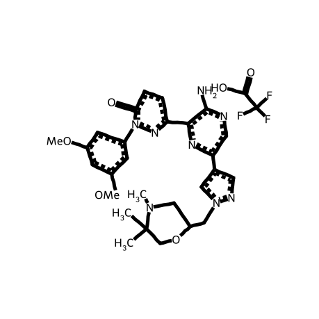 COc1cc(OC)cc(-n2nc(-c3nc(-c4cnn(CC5CN(C)C(C)(C)CO5)c4)cnc3N)ccc2=O)c1.O=C(O)C(F)(F)F